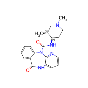 C[C@H]1CN(C)CC[C@H]1NC(=O)N1c2ccccc2C(=O)Nc2cccnc21